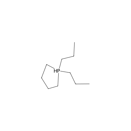 CCC[PH]1(CCC)CCCC1